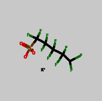 O=S(=O)([O-])C(F)(F)C(F)(F)C(F)(F)C(F)(F)C(F)F.[K+]